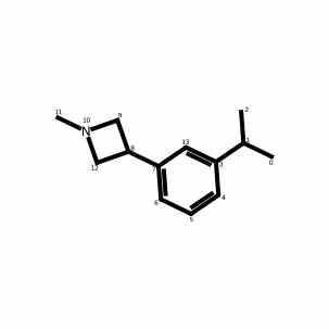 CC(C)c1cccc(C2CN(C)C2)c1